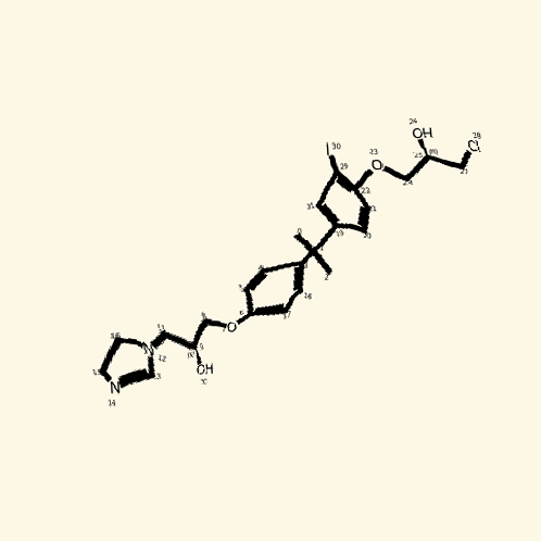 CC(C)(c1ccc(OC[C@@H](O)CN2C=NCC2)cc1)c1ccc(OC[C@@H](O)CCl)c(I)c1